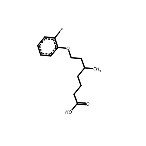 CC(CCCC(=O)O)CCOc1ccccc1F